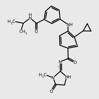 CC(C)NC(=O)c1cccc(Nc2ccc(C(=O)/N=C3\NCC(=O)N3C)cc2C2CC2)c1